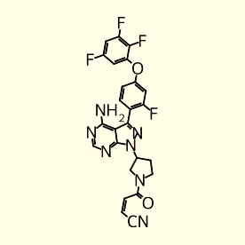 N#C/C=C\C(=O)N1CCC(n2nc(-c3ccc(Oc4cc(F)cc(F)c4F)cc3F)c3c(N)ncnc32)C1